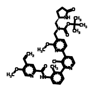 C=Cc1cc(C(=O)Nc2cccc(-c3nccc(-c4ccc(CN(C[C@@H]5CCC(=O)N5)C(=O)OC(C)(C)C)c(OC)n4)c3Cl)c2C)ncc1OC